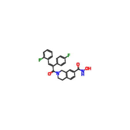 O=C(NO)c1ccc2c(c1)CN(C(=O)/C(=C/c1ccccc1F)c1ccc(F)cc1)CC2